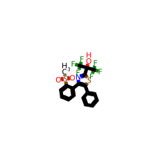 CS(=O)(=O)c1ccccc1-c1nc(C(O)(C(F)(F)F)C(F)(F)F)sc1-c1ccccc1